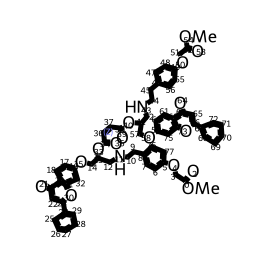 COC(=O)COc1ccc(CCNCC(COc2ccc3c(=O)cc(-c4ccccc4)oc3c2)OC(=O)/C=C\C(=O)OC(CNCCc2ccc(OCC(=O)OC)cc2)COc2ccc3c(=O)cc(-c4ccccc4)oc3c2)cc1